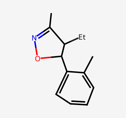 CCC1C(C)=NOC1c1ccccc1C